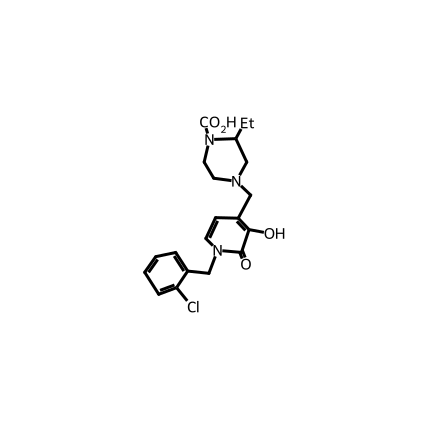 CCC1CN(Cc2ccn(Cc3ccccc3Cl)c(=O)c2O)CCN1C(=O)O